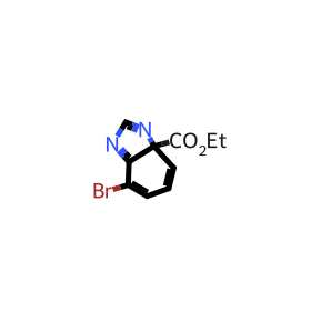 CCOC(=O)C12C=CC=C(Br)C1=NC=N2